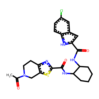 CC(=O)N1CCc2nc(C(=O)NC3CCCCC3NC(=O)c3cc4cc(Cl)ccc4[nH]3)sc2C1